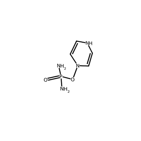 NP(N)(=O)ON1C=CNC=C1